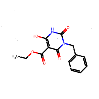 CCOC(=O)c1c(O)[nH]c(=O)n(Cc2ccccc2)c1=O